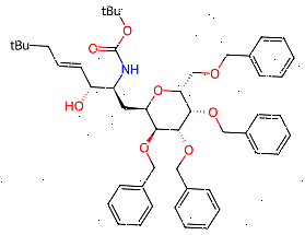 CC(C)(C)CC=C[C@@H](O)[C@H](C[C@H]1O[C@H](COCc2ccccc2)[C@H](OCc2ccccc2)[C@H](OCc2ccccc2)[C@H]1OCc1ccccc1)NC(=O)OC(C)(C)C